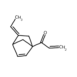 C=CC(=O)C12C=CC(C1)C(=CC)C2